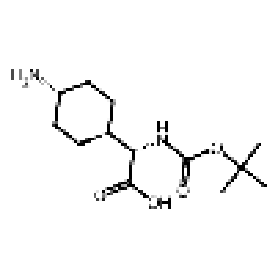 CC(C)(C)OC(=O)N[C@H](C(=O)O)[C@H]1CC[C@H](N)CC1